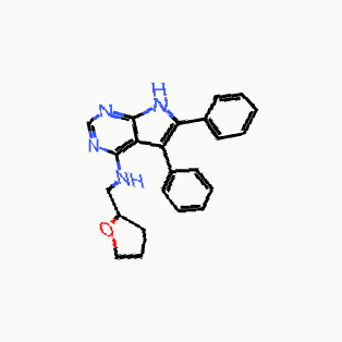 c1ccc(-c2[nH]c3ncnc(NCC4CCCO4)c3c2-c2ccccc2)cc1